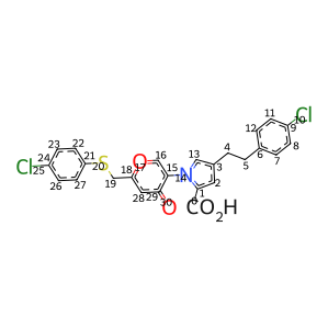 O=C(O)c1cc(CCc2ccc(Cl)cc2)cn1-c1coc(CSc2ccc(Cl)cc2)cc1=O